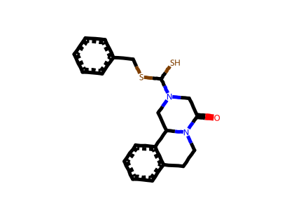 O=C1CN(C(S)SCc2ccccc2)CC2c3ccccc3CCN12